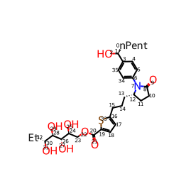 CCCCC[C@H](O)c1ccc(N2C(=O)CC[C@@H]2CCCc2ccc(C(=O)OC[C@H](O)[C@H](O)[C@H](O)[C@H](O)CC)s2)cc1